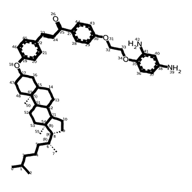 CC(C)CCC[C@@H](C)[C@H]1CCC2C3CCC4CC(Oc5ccc(C=CC(=O)c6ccc(OCCOc7ccc(N)cc7N)cc6)cc5)CC[C@]4(C)C3CC[C@@]21C